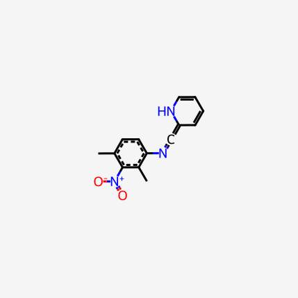 Cc1ccc(N=C=C2C=CC=CN2)c(C)c1[N+](=O)[O-]